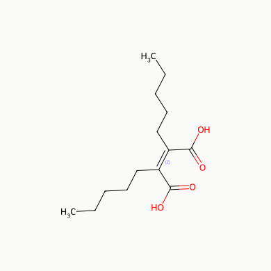 CCCCC/C(C(=O)O)=C(\CCCCC)C(=O)O